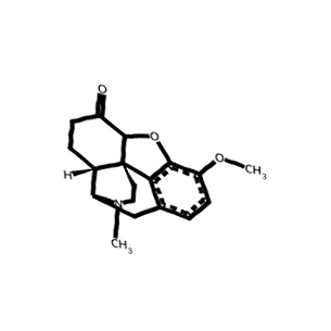 COc1ccc2c3c1OC1C(=O)CC[C@H]4C(C2)N(C)CC[C@]314